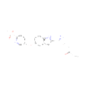 CNC(=O)CC1CN=C(c2cc3cc(Oc4ccc(S(C)(=O)=O)nc4)cc(C)c3[nH]2)S1